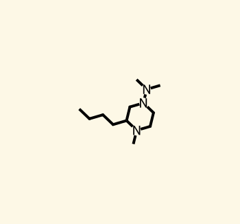 CCCCC1CN(N(C)C)CCN1C